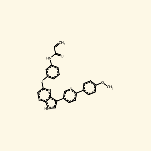 C=CC(=O)Nc1cccc(Oc2cnc3[nH]cc(-c4ccc(-c5ccc(OC)cc5)nc4)c3n2)c1